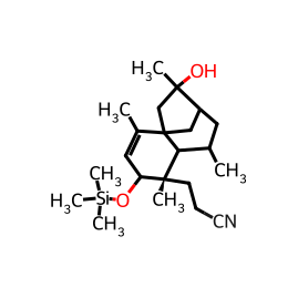 CC1=CC(O[Si](C)(C)C)[C@@](C)(CCC#N)C2C(C)CC3CC12CC3(C)O